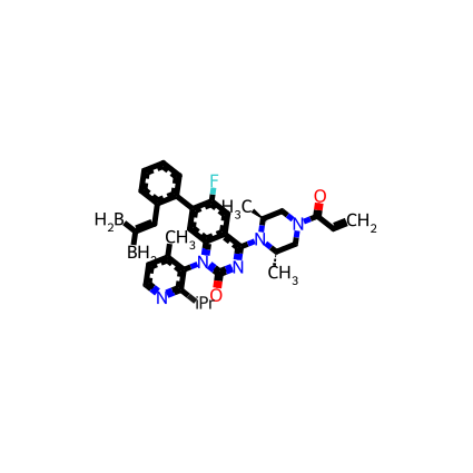 BC(B)=Cc1ccccc1-c1cc2c(cc1F)c(N1[C@@H](C)CN(C(=O)C=C)C[C@@H]1C)nc(=O)n2-c1c(C)ccnc1C(C)C